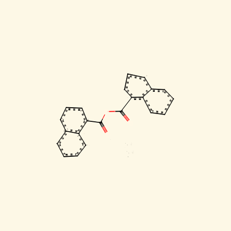 O=C(OC(=O)c1cccc2ccccc12)c1cccc2ccccc12.[NaH].[NaH]